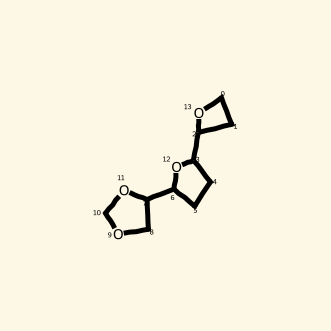 C1CC(C2CCC(C3COCO3)O2)O1